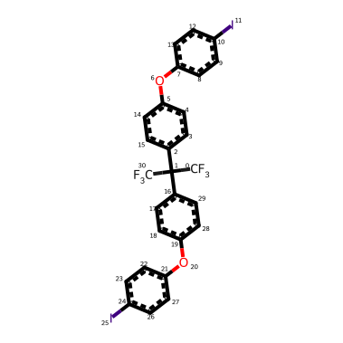 FC(F)(F)C(c1ccc(Oc2ccc(I)cc2)cc1)(c1ccc(Oc2ccc(I)cc2)cc1)C(F)(F)F